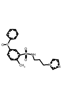 Cc1ccc([S+]([O-])c2ccccc2)cc1S(=O)(=O)NCCCn1ccnc1